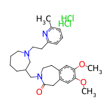 COc1cc2c(cc1OC)CC(=O)N(CC1CCCCN(CCc3cccc(C)n3)C1)CC2.Cl.Cl